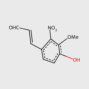 COc1c(O)ccc(C=CC=O)c1[N+](=O)[O-]